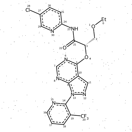 CCOC[C@H](Oc1ncnc2c1cnn2-c1ncccc1C(F)(F)F)C(=O)Nc1ccc(Cl)cn1